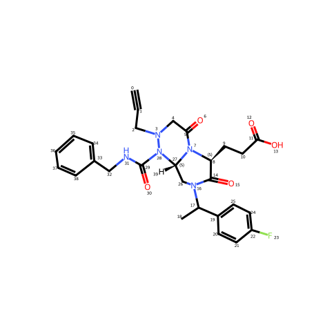 C#CCN1CC(=O)N2[C@@H](CCC(=O)O)C(=O)N(C(C)c3ccc(F)cc3)C[C@@H]2N1C(=O)NCc1ccccc1